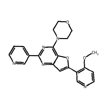 COc1ccncc1-c1cc2nc(-c3cccnc3)nc(N3CCOCC3)c2o1